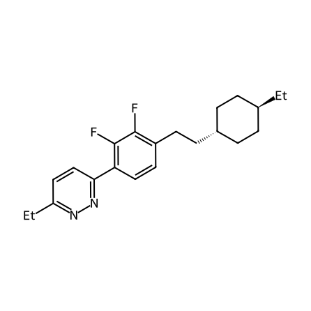 CCc1ccc(-c2ccc(CC[C@H]3CC[C@H](CC)CC3)c(F)c2F)nn1